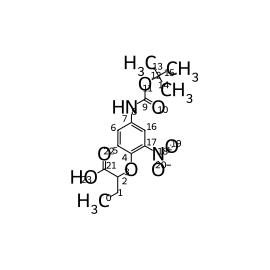 CCC(Oc1ccc(NC(=O)OC(C)(C)C)cc1[N+](=O)[O-])C(=O)O